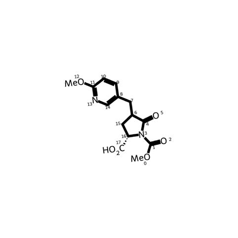 COC(=O)N1C(=O)C(Cc2ccc(OC)nc2)C[C@H]1C(=O)O